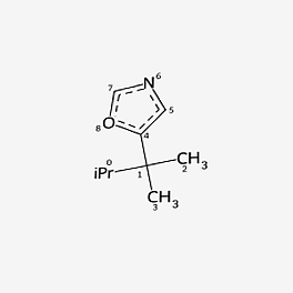 CC(C)C(C)(C)c1cnco1